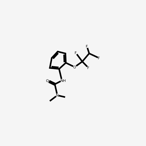 CN(C)C(=O)Nc1ccccc1OC(F)(F)C(F)F